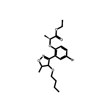 CCCCOC1C(c2cc(Br)ccc2O[C@@H](C)C(=O)OCC)=NOC1C